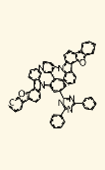 c1ccc(-c2nc(-c3ccccc3)nc(-c3ccc(-c4cnccc4-n4c5ccccc5c5c6oc7ccccc7c6ccc54)c(-n4c5ccccc5c5c6oc7ccccc7c6ccc54)c3)n2)cc1